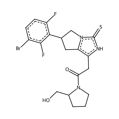 O=C(Cc1[nH]c(=S)n2c1CC(c1c(F)ccc(Br)c1F)C2)N1CCCC1CO